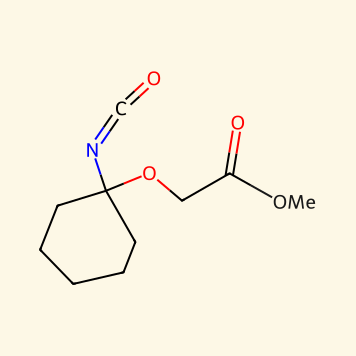 COC(=O)COC1(N=C=O)CCCCC1